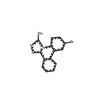 CC(C)(C)c1nnc2c3ccccc3c3cc(Br)ccc3n12